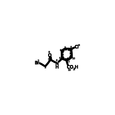 O=C(CBr)Nc1ccc(Cl)cc1C(=O)O